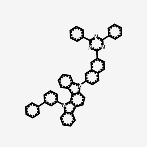 c1ccc(-c2cccc(-n3c4ccccc4c4ccc5c(c6ccccc6n5-c5ccc6ccc(-c7nc(-c8ccccc8)nc(-c8ccccc8)n7)cc6c5)c43)c2)cc1